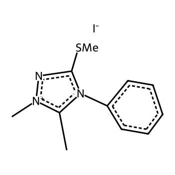 CSc1n[n+](C)c(C)n1-c1ccccc1.[I-]